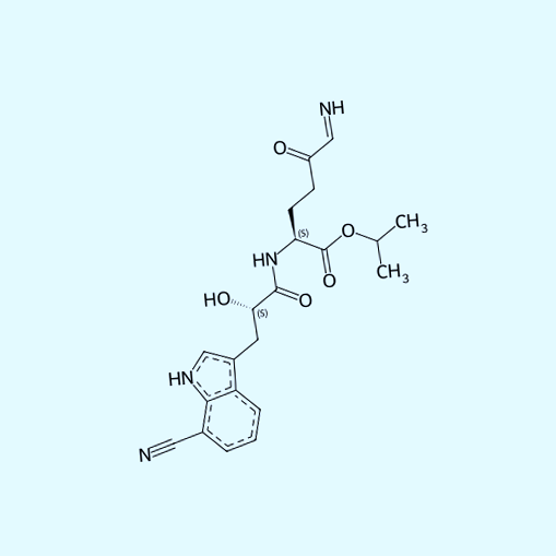 CC(C)OC(=O)[C@H](CCC(=O)C=N)NC(=O)[C@@H](O)Cc1c[nH]c2c(C#N)cccc12